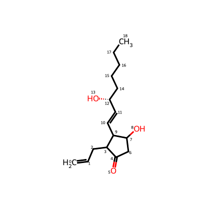 C=CCC1C(=O)CC(O)C1C=C[C@H](O)CCCCC